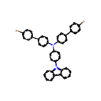 Brc1ccc(-c2ccc(N(c3ccc(-c4ccc(Br)cc4)cc3)c3ccc(-n4c5ccccc5c5ccccc54)cc3)cc2)cc1